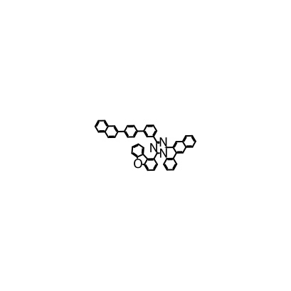 c1ccc(-c2cc3ccccc3cc2-c2nc(-c3cccc(-c4ccc(-c5ccc6ccccc6c5)cc4)c3)nc(-c3cccc4oc5ccccc5c34)n2)cc1